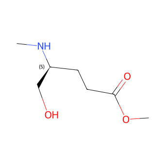 CN[C@H](CO)CCC(=O)OC